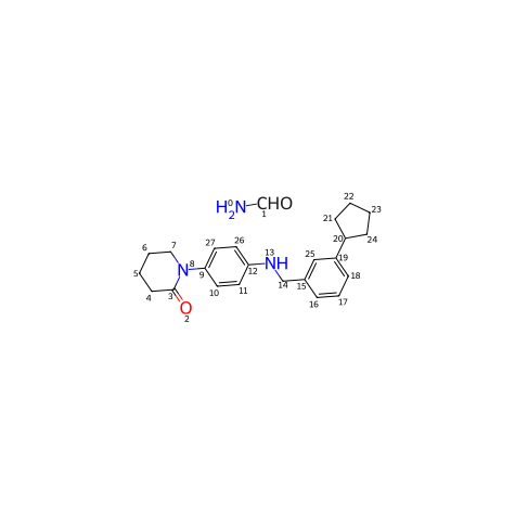 NC=O.O=C1CCCCN1c1ccc(NCc2cccc(C3CCCC3)c2)cc1